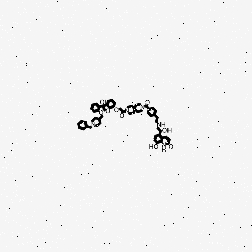 O=C(COc1cccc(C(O)(C(=O)OCC2CCN(Cc3ccccc3)CC2)c2ccccc2)c1)N1CCC2(CC1)CCN(C(=O)c1ccc(CCNC[C@H](O)c3ccc(O)c4[nH]c(=O)ccc34)cc1)CC2